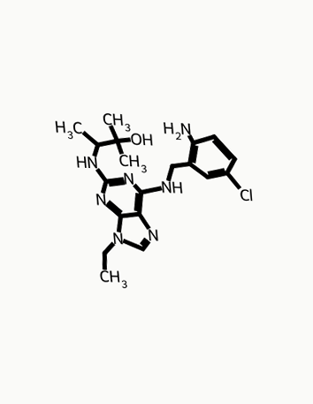 CCn1cnc2c(NCc3cc(Cl)ccc3N)nc(NC(C)C(C)(C)O)nc21